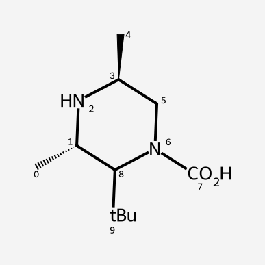 C[C@@H]1N[C@@H](C)CN(C(=O)O)C1C(C)(C)C